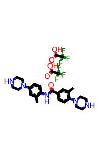 Cc1cc(N2CCNCC2)ccc1NC(=O)c1ccc(N2CCNCC2)c(C)c1.O=C(O)C(F)(F)F.O=C(O)C(F)(F)F